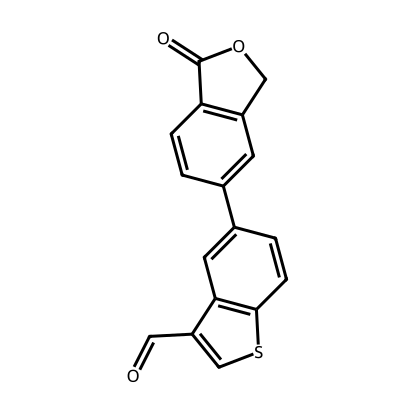 O=Cc1csc2ccc(-c3ccc4c(c3)COC4=O)cc12